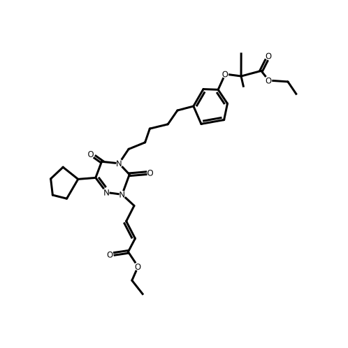 CCOC(=O)C=CCn1nc(C2CCCC2)c(=O)n(CCCCCc2cccc(OC(C)(C)C(=O)OCC)c2)c1=O